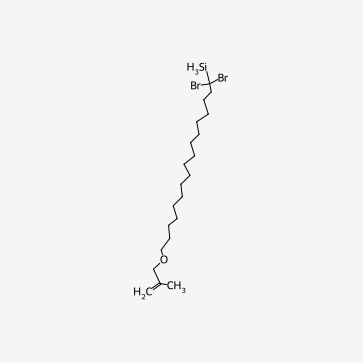 C=C(C)COCCCCCCCCCCCCCCCCC([SiH3])(Br)Br